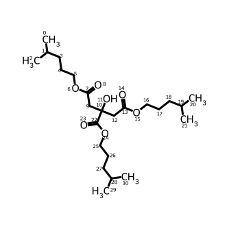 CC(C)CCCOC(=O)CC(O)(CC(=O)OCCCC(C)C)C(=O)OCCCC(C)C